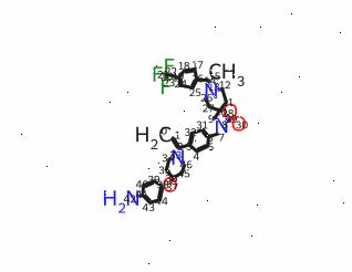 C=C=C(c1ccc(CN2CC3(CCN(C(C)c4ccc(C(F)(F)F)cc4)CC3)OC2=O)cc1)N1CCC(Oc2ccc(N)cc2)CC1